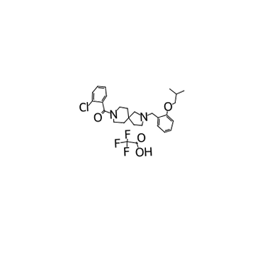 CC(C)COc1ccccc1CN1CCC2(CCN(C(=O)c3ccccc3Cl)CC2)C1.O=C(O)C(F)(F)F